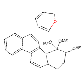 C1=CCOC=C1.COC1CCC2C=Cc3c(ccc4ccccc34)C2C1(OC)OC